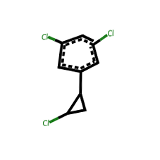 Cl[C]1CC1c1cc(Cl)cc(Cl)c1